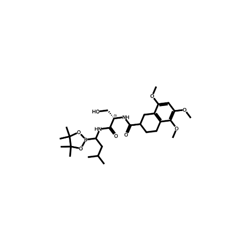 COc1cc(OC)c(OC)c2c1CC(C(=O)N[C@@H](CO)C(=O)NC(CC(C)C)B1OC(C)(C)C(C)(C)O1)CC2